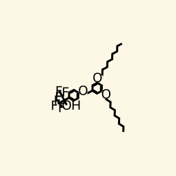 CCCCCCCCCOc1cc(COc2ccc(C(O)(C(F)(F)F)C(F)(F)F)cc2)cc(OCCCCCCCCC)c1